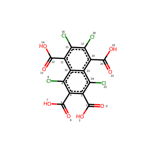 O=C(O)c1c(C(=O)O)c(Cl)c2c(C(=O)O)c(Cl)c(Cl)c(C(=O)O)c2c1Cl